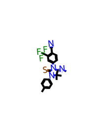 C/N=C1/N(c2ccc(C#N)c(C(F)(F)F)c2)C(=S)N(c2ccc(C)cc2)C1(C)C